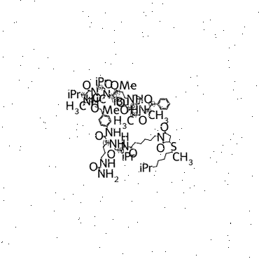 CC[C@H](C)[C@@H]([C@@H](CC(=O)N1CCC[C@H]1[C@H](OC)[C@@H](C)C(=O)N[C@H](C)[C@@H](O)c1ccccc1)OC)N(C)C(=O)[C@@H](NC(=O)[C@H](C(C)C)N(C)C(=O)OCc1ccc(NC(=O)[C@H](CCCNC(N)=O)NC(=O)[C@@H](NC(=O)CCCCCN2C(=O)CC(SC(C)CCCCC(C)C)C2=O)C(C)C)cc1)C(C)C